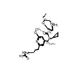 COc1cc([C@@H](C)N(C(=O)[C@H]2CNC[C@@H](CF)O2)C2CC2)cc(CCCNC(=O)O)n1